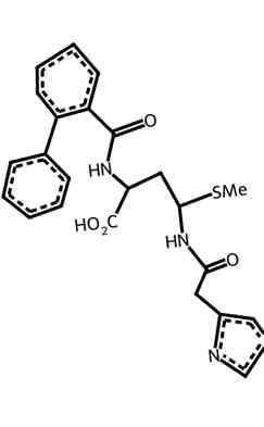 CSC(CC(NC(=O)c1ccccc1-c1ccccc1)C(=O)O)NC(=O)Cc1cscn1